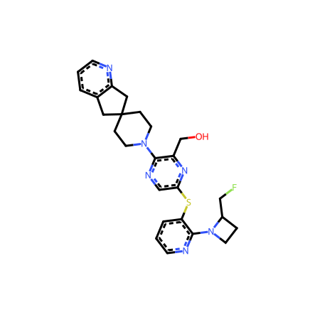 OCc1nc(Sc2cccnc2N2CCC2CF)cnc1N1CCC2(CC1)Cc1cccnc1C2